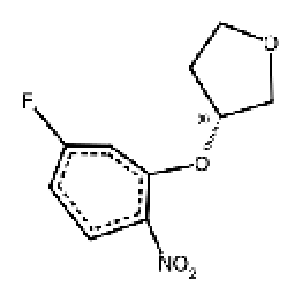 O=[N+]([O-])c1ccc(F)cc1O[C@@H]1CCOC1